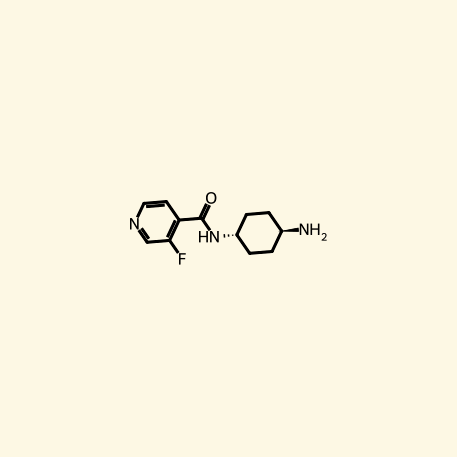 N[C@H]1CC[C@H](NC(=O)c2ccncc2F)CC1